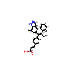 CCC(=C(c1ccc(C=CC(=O)O)cc1)c1cc(C)c2[nH]ncc2c1)c1ccccc1